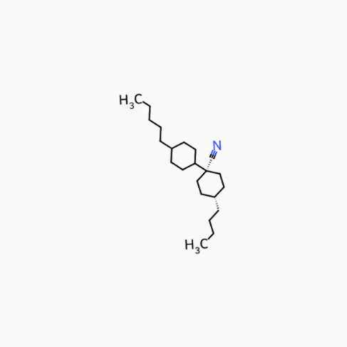 CCCCCC1CCC([C@]2(C#N)CC[C@@H](CCCC)CC2)CC1